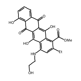 CCc1cc(NCCO)c2c(O)c3c(c(O)c2c1C(=O)OC)C(=O)c1cccc(O)c1C3=O